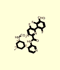 C[C@@H]1C[C@H](NC(=O)O)C[C@H](c2ccncc2NC(=O)c2ccc(F)c(-c3c(F)ccc(C=O)c3F)n2)C1